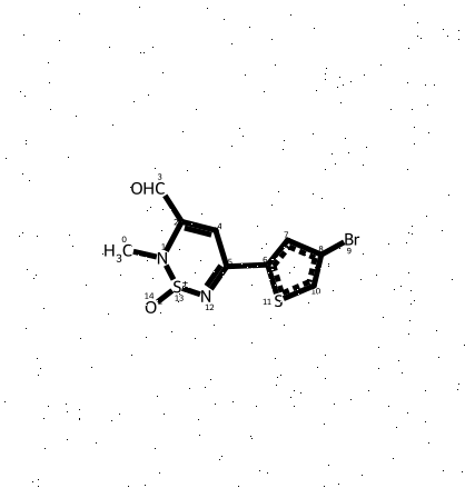 CN1C(C=O)=CC(c2cc(Br)cs2)=N[S+]1[O-]